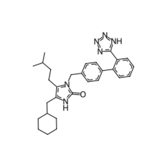 CC(C)CCc1c(CC2CCCCC2)[nH]c(=O)n1Cc1ccc(-c2ccccc2-c2nnn[nH]2)cc1